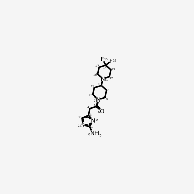 Nc1nc(CC(=O)N2CCC(N3CCC(F)(F)CC3)CC2)cs1